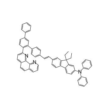 CCC1(CC)c2cc(/C=C/c3ccc(-c4cc(-c5ccccc5)ccc4-c4ccc5ccc6cccnc6c5n4)cc3)ccc2-c2ccc(N(c3ccccc3)c3ccccc3)cc21